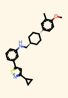 COc1ccc([C@H]2CC[C@H](CNc3cccc(-c4cc(C5CC5)ns4)c3)CC2)cc1C